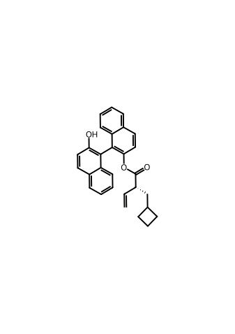 C=C[C@@H](CC1CCC1)C(=O)Oc1ccc2ccccc2c1-c1c(O)ccc2ccccc12